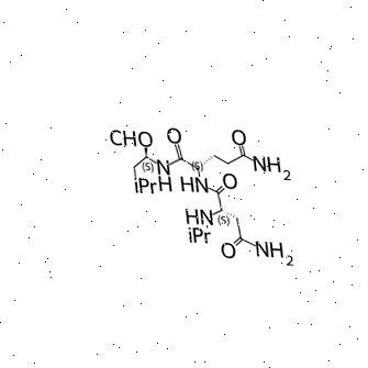 CC(C)C[C@@H](C=O)NC(=O)[C@H](CCC(N)=O)NC(=O)[C@H](CC(N)=O)NC(C)C